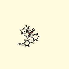 NC(=O)C12CC3CC(C1)C(NC(=O)[C@H]1CN(Cc4ccc(O)cc4)CCO1)C(C3)C2